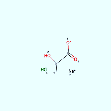 CC(O)C(=O)[O-].Cl.[Na+]